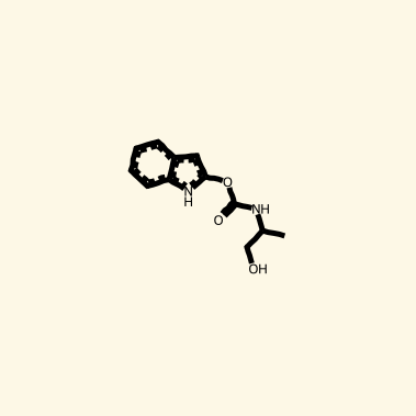 CC(CO)NC(=O)Oc1cc2ccccc2[nH]1